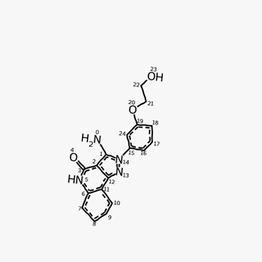 Nc1c2c(=O)[nH]c3ccccc3c2nn1-c1cccc(OCCO)c1